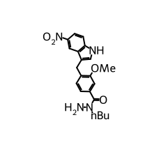 CCCCN(N)C(=O)c1ccc(Cc2c[nH]c3ccc([N+](=O)[O-])cc23)c(OC)c1